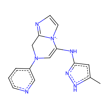 Cc1cc(NC2=CN(c3cccnc3)CC3=NC=C[N+]23)n[nH]1